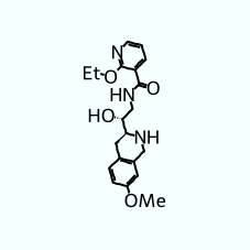 CCOc1ncccc1C(=O)NC[C@@H](O)[C@@H]1Cc2ccc(OC)cc2CN1